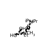 CCN(CCN(CCO)CCO)C(C)CC1CCN(CCN(C(C)C)C(C)C)C1